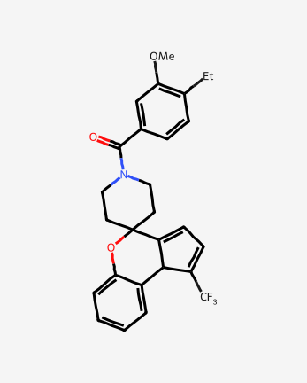 CCc1ccc(C(=O)N2CCC3(CC2)Oc2ccccc2C2C(C(F)(F)F)=CC=C23)cc1OC